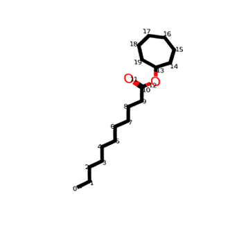 [CH2]CCCCCCCCCC(=O)OC1CCCCCC1